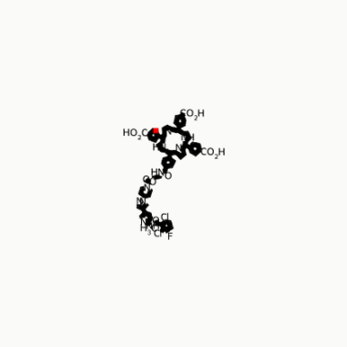 C[C@H](Oc1cc(-c2cnn(C3CCN(C(=O)OCCNC(=O)c4ccc(-c5c6nc(c(-c7ccc(C(=O)O)cc7)c7ccc([nH]7)c(-c7ccc(C(=O)O)cc7)c7nc(c(-c8ccc(C(=O)O)cc8)c8ccc5[nH]8)C=C7)C=C6)cc4)CC3)c2)cnc1N)c1c(Cl)ccc(F)c1Cl